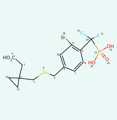 O=C(O)CC1(CSCc2ccc(C(F)(F)P(=O)(O)O)c(Br)c2)CC1